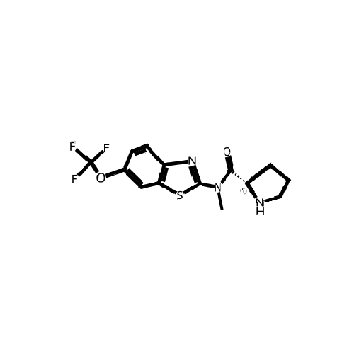 CN(C(=O)[C@@H]1CCCN1)c1nc2ccc(OC(F)(F)F)cc2s1